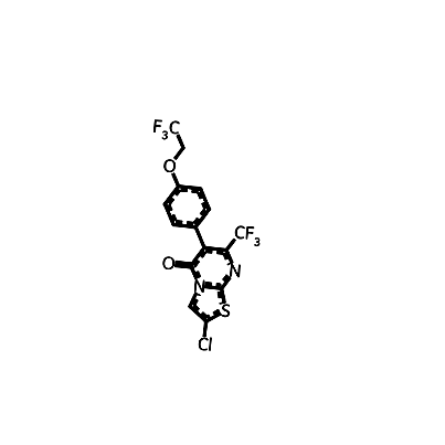 O=c1c(-c2ccc(OCC(F)(F)F)cc2)c(C(F)(F)F)nc2sc(Cl)cn12